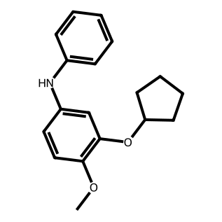 COc1ccc(Nc2ccccc2)cc1OC1CCCC1